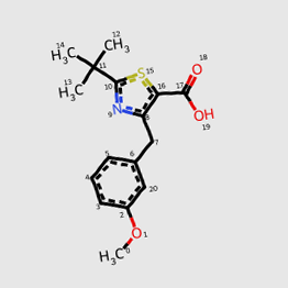 COc1cccc(Cc2nc(C(C)(C)C)sc2C(=O)O)c1